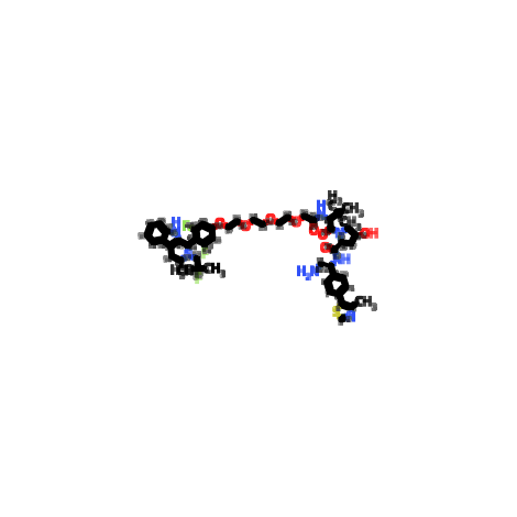 Cc1ncsc1-c1ccc([C@@H](CN)NC(=O)[C@@H]2C[C@@H](O)CN2C(=O)[C@@H](NC(=O)COCCOCCOCCOc2cc(F)c(C3c4[nH]c5ccccc5c4C[C@@H](C)N3CC(C)(C)F)c(F)c2)C(C)(C)C)cc1